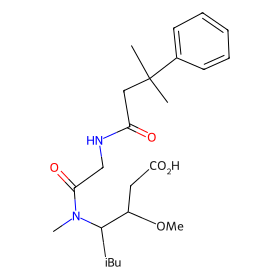 CCC(C)C(C(CC(=O)O)OC)N(C)C(=O)CNC(=O)CC(C)(C)c1ccccc1